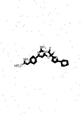 Nc1nc(OC(F)(c2ccc(-c3ccccc3)s2)C(F)F)cc(-c2ccc(C[C@H](N)C(=O)O)cc2)n1